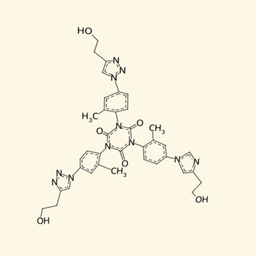 Cc1cc(-n2cnc(CCO)c2)ccc1-n1c(=O)n(-c2ccc(-n3cc(CCO)nn3)cc2C)c(=O)n(-c2ccc(-n3cc(CCO)nn3)cc2C)c1=O